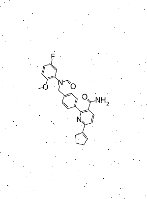 COc1ccc(F)cc1N(C=O)Cc1ccc(-c2nc(C3=CCCC3)ccc2C(N)=O)cc1